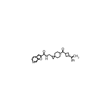 C=C(C(C)C)N1CC(C(=O)N2CCC3(CC2)CC3CNC(=O)c2cc3ccncc3o2)C1